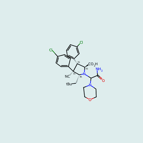 CC(C)(C)C[C@H]1N(C(C(N)=O)N2CCOCC2)[C@H](C(=O)O)[C@@H](c2cccc(Cl)c2)[C@]1(C#N)c1ccc(Cl)cc1